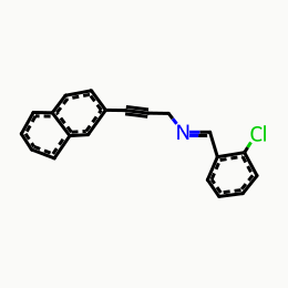 Clc1ccccc1C=NCC#Cc1ccc2ccccc2c1